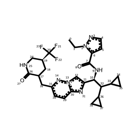 CCn1nccc1C(=O)N[C@H](c1cn2nc(CC3C[C@H](C(F)(F)F)CNC3=O)ccc2n1)C(C1CC1)C1CC1